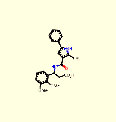 COc1cccc(C(CC(=O)O)NC(=O)c2cc(-c3ccccc3)[nH]c2C)c1OC